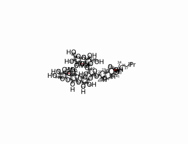 CO[C@@H]1[C@@H](O)[C@H](O[C@@H]2[C@@H](O)[C@H](O[C@H]3[C@H](O)[C@@H](O)[C@H](O[C@H]4[C@H](O[C@H]5CC[C@]6(C)C7=CC[C@]89C(=O)O[C@@](C)(CCCC(C)C)[C@H]8CC[C@@]9(C)[C@@H]7CC[C@H]6C5(C)C)OC[C@@H](O[C@@H]5O[C@H](CO)[C@@H](O)[C@H](O[C@@H]6O[C@H](CO)[C@@H](O)[C@H](OC)[C@H]6O)[C@H]5O)[C@@H]4O)O[C@@H]3C)O[C@H](CO)[C@H]2O)O[C@H](CO)[C@H]1O